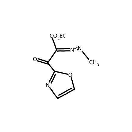 CCOC(=O)C(=[N+]=NC)C(=O)c1ncco1